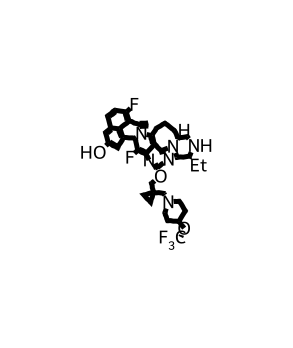 C#Cc1c(F)ccc2cc(O)cc(-c3nc4c5c(nc(OCC6(CN7CCC(OC(F)(F)F)CC7)CC6)nc5c3F)N3C[C@@H](CC)NC[C@H]3CCC4)c12